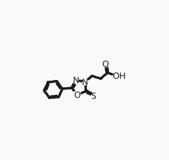 O=C(O)CCn1nc(-c2ccccc2)oc1=S